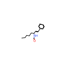 CCCCCC(C=Cc1ccccc1)NC=O